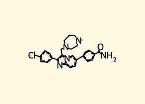 CN1CCCN(Cc2c(-c3ccc(Cl)cc3)nc3ccc(-c4ccc(C(N)=O)cc4)cn23)CC1